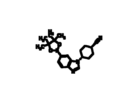 CC1(C)OB(c2ccc3ncn([C@H]4CC[C@H](C#N)CC4)c3c2)OC1(C)C